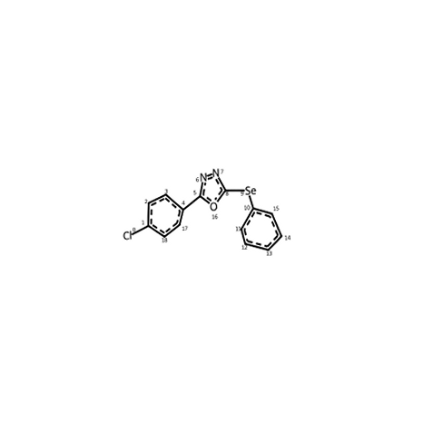 Clc1ccc(-c2nnc([Se]c3ccccc3)o2)cc1